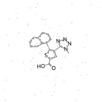 Cn1nnnc1-c1cc(C(=O)O)sc1-c1cccc2ccccc12